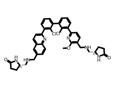 COc1nc(-c2cccc(-c3cccc(-c4ccc5cc(CNC[C@@H]6CCC(=O)N6)ccc5n4)c3Cl)c2Cl)ccc1CNC[C@@H]1CCC(=O)N1